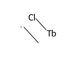 [CH2]C.[Cl][Tb]